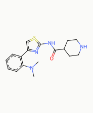 CN(C)c1ccccc1-c1csc(NC(=O)C2CCNCC2)n1